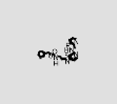 O=C(NCCc1nc2ccnc(NCc3ncccc3F)c2s1)OCc1ccccc1